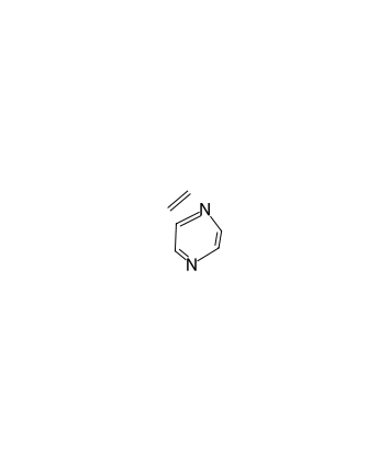 C=C.c1cnccn1